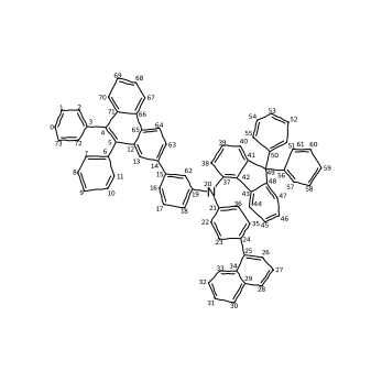 c1ccc(-c2c(-c3ccccc3)c3cc(-c4cccc(N(c5ccc(-c6cccc7ccccc67)cc5)c5cccc6c5-c5ccccc5C6(c5ccccc5)c5ccccc5)c4)ccc3c3ccccc23)cc1